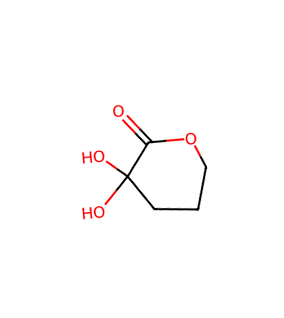 O=C1OCCCC1(O)O